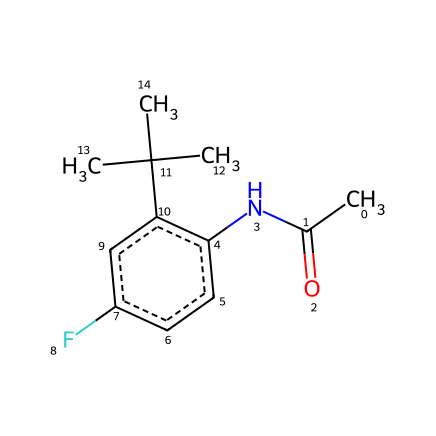 CC(=O)Nc1ccc(F)cc1C(C)(C)C